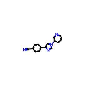 N#Cc1ccc(-c2cn(-c3cccnc3)cn2)cc1